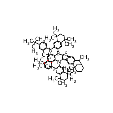 Cc1cc(C(C)(C)C)ccc1N1c2cc3c(cc2B2c4sc5cc6c(cc5c4N(c4cc5c(cc4-c4ccccc4)C(C)(C)CCC5(C)C)c4cc(C(C)(C)C)cc1c42)C1(C)CCCC(C1)C6C)C(C)(C)CCC3(C)C